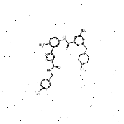 Cc1ccc(NC(=O)c2cc(CN3CCN(C)CC3)cc(C(C)(C)C)c2)cc1-c1cc(C(=O)NCc2ccc(C(F)(F)F)nc2)on1